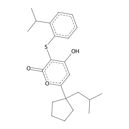 CC(C)CC1(c2cc(O)c(Sc3ccccc3C(C)C)c(=O)o2)CCCC1